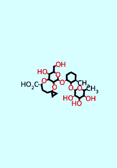 CC1O[C@@H](OC2[C@H](C)CCC[C@H]2O[C@@H]2OC(CO)[C@H](O)C3O[C@@H](C(=O)O)CCC4(CC4)OC32)[C@@H](O)C(O)[C@@H]1O